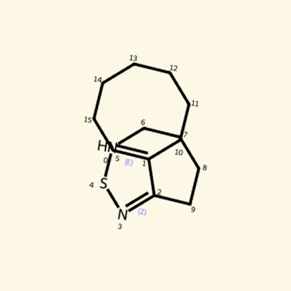 C1=C(/C2=N\SNCCCC2)CCCCCC/1